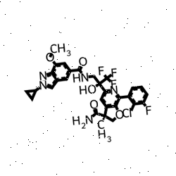 COc1cc(C(=O)NCC(O)(c2cc3c(c(-c4cccc(F)c4Cl)n2)OC[C@]3(C)C(N)=O)C(F)(F)F)cc2cn(C3CC3)nc12